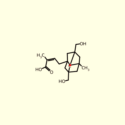 CC(=CCC12CC3(C)CC(CO)(CC(CO)(C3)C1)C2)C(=O)O